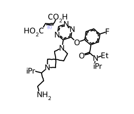 CCN(C(=O)c1cc(F)ccc1Oc1nncnc1N1CCC2(C1)CN(C(CCN)C(C)C)C2)C(C)C.O=C(O)/C=C/C(=O)O